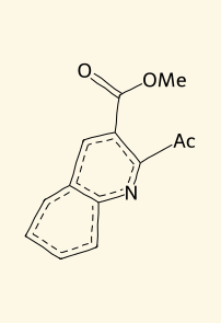 COC(=O)c1cc2ccccc2nc1C(C)=O